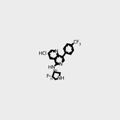 Cl.F[C@H]1CNC[C@H]1Nc1ncc(-c2ccc(C(F)(F)F)cc2)c2ncccc12